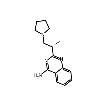 C[C@@H](CN1CCCC1)c1nc(N)c2ccccc2n1